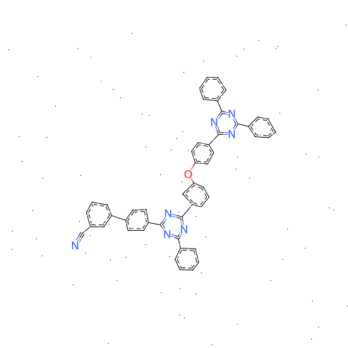 N#Cc1cccc(-c2ccc(-c3nc(-c4ccccc4)nc(-c4cccc(Oc5ccc(-c6nc(-c7ccccc7)nc(-c7ccccc7)n6)cc5)c4)n3)cc2)c1